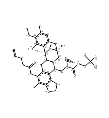 C=CCOC(=O)Oc1c(C)c2c(c3c1CC1[C@H]4c5c(cc(C)c(OC)c5O)C[C@@H]([C@H](C#N)N1[C@H]3CNC(=O)OCC(Cl)(Cl)Cl)N4C)OCO2